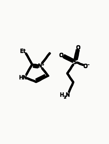 CCc1[nH]cc[n+]1C.NCCS(=O)(=O)[O-]